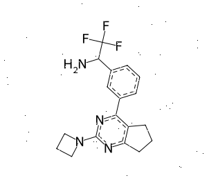 NC(c1cccc(-c2nc(N3CCC3)nc3c2CCC3)c1)C(F)(F)F